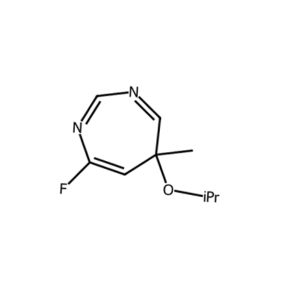 CC(C)OC1(C)C=NC=NC(F)=C1